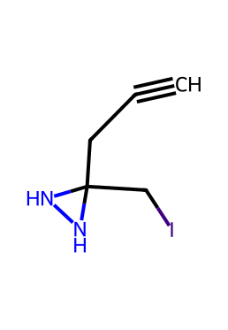 C#CCC1(CI)NN1